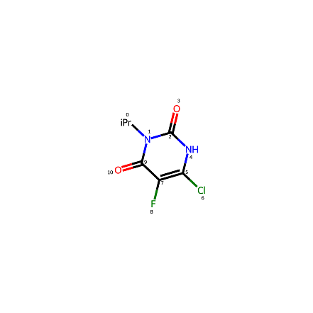 CC(C)n1c(=O)[nH]c(Cl)c(F)c1=O